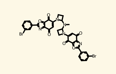 CN(C1CCN1C1=CC(=O)c2nc(-c3cccc(Br)c3)oc2C1=O)C1CCN1C1=CC(=O)c2nc(-c3cccc(Br)c3)oc2C1=O